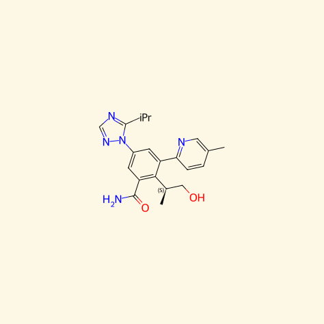 Cc1ccc(-c2cc(-n3ncnc3C(C)C)cc(C(N)=O)c2[C@H](C)CO)nc1